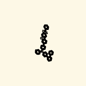 c1ccc(-c2nc3cc4c(cc3o2)oc2cc(-c3ccc(N(c5ccccc5)c5ccc(-c6ccccc6-c6ccccc6)cc5)cc3)ccc24)cc1